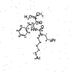 CC(=O)SCCCCN(CCC(C)C)C(=O)N[C@@H](Cc1ccccc1)C(=O)N(C)C